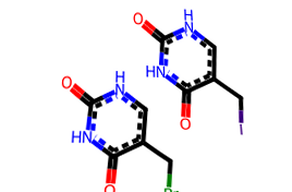 O=c1[nH]cc(CBr)c(=O)[nH]1.O=c1[nH]cc(CI)c(=O)[nH]1